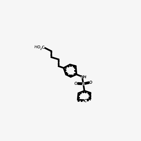 O=C(O)CCCCc1ccc(NS(=O)(=O)c2ccccc2)cc1